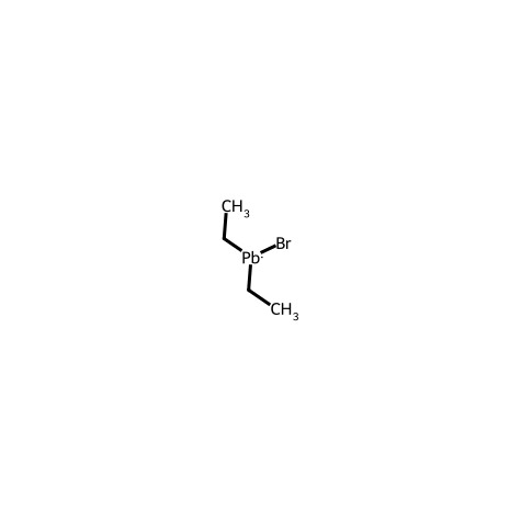 C[CH2][Pb]([Br])[CH2]C